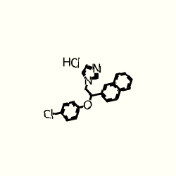 Cl.Clc1ccc(OC(Cn2ccnc2)c2ccc3ccccc3c2)cc1